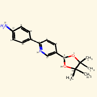 CC1(C)OB(c2ccc(-c3ccc(N)cc3)nc2)OC1(C)C